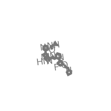 O=C(Nc1cncc(-c2cnc3[nH]nc(-c4cc5c(-c6cc(F)cc(OCCN7CCCC7)c6)nccc5[nH]4)c3c2)c1)C1CC1